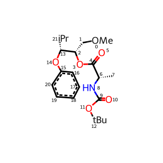 COC[C@H](OC(=O)[C@H](C)NC(=O)OC(C)(C)C)[C@H](Oc1ccccc1)C(C)C